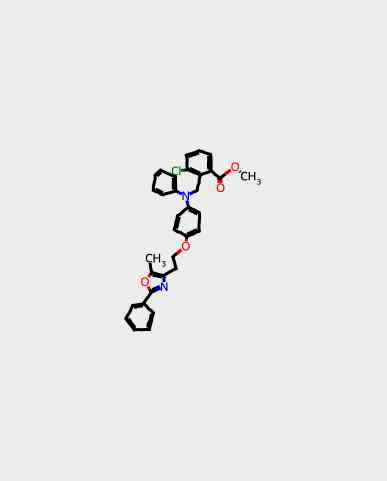 COC(=O)c1cccc(Cl)c1CN(c1ccccc1)c1ccc(OCCc2nc(-c3ccccc3)oc2C)cc1